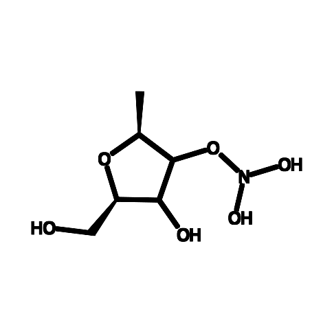 C[C@@H]1O[C@H](CO)C(O)C1ON(O)O